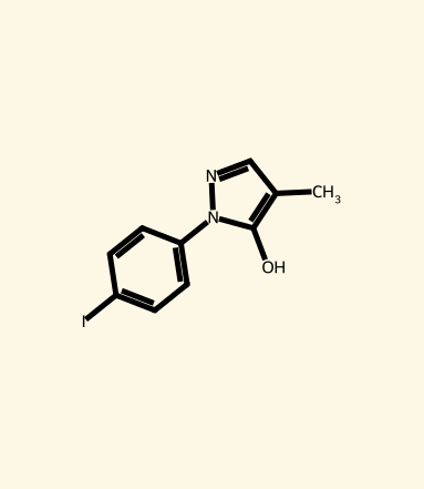 Cc1cnn(-c2ccc(I)cc2)c1O